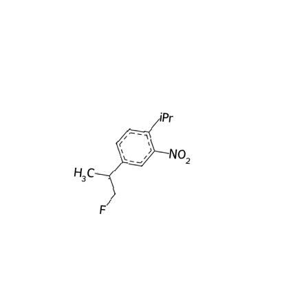 C[C](CF)c1ccc(C(C)C)c([N+](=O)[O-])c1